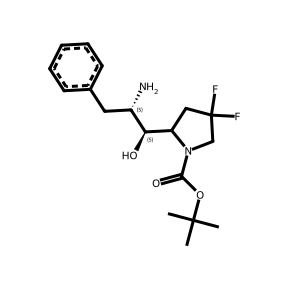 CC(C)(C)OC(=O)N1CC(F)(F)CC1[C@@H](O)[C@@H](N)Cc1ccccc1